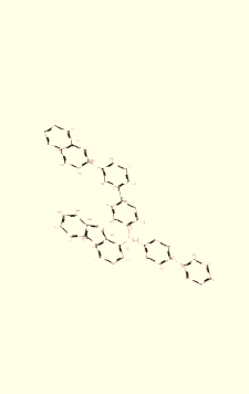 c1ccc(-c2ccc(N(c3ccc(-c4cccc(-c5ccc6ccccc6c5)c4)cc3)c3cccc4c3oc3ccccc34)cc2)cc1